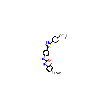 COc1ccc(NC(=O)Nc2ccc(-c3cnc(C4CCC(C(=O)O)CC4)s3)cc2)c(C)c1